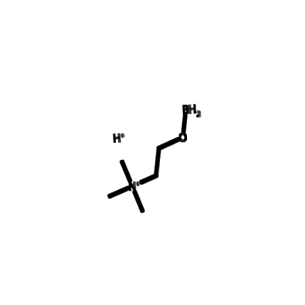 BOCC[N+](C)(C)C.[H+]